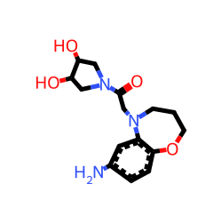 Nc1ccc2c(c1)N(CC(=O)N1CC(O)C(O)C1)CCCO2